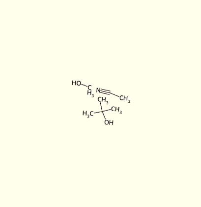 CC#N.CC(C)(C)O.CO